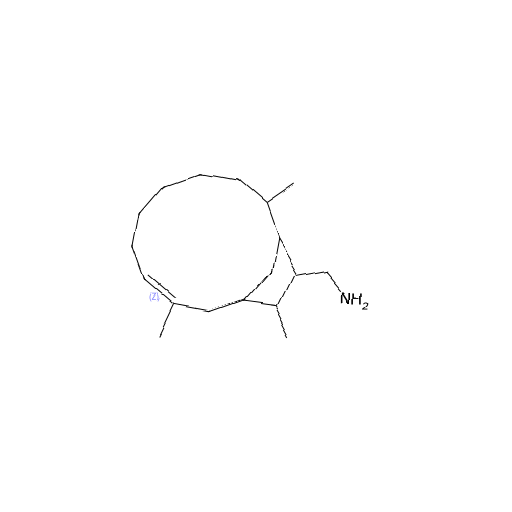 C/C1=C/CCCCCC(C)C2CC(C1)C(C)C2CN